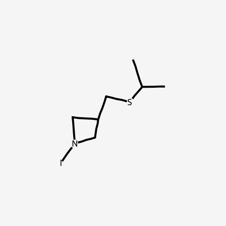 CC(C)SCC1CN(I)C1